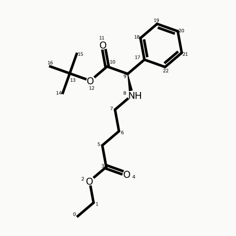 CCOC(=O)CCCN[C@@H](C(=O)OC(C)(C)C)c1ccccc1